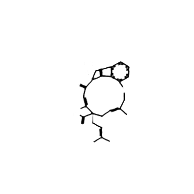 CCC(=O)[C@@]1(CC=C(C)C)C/C=C(\C)COc2cccc3c2C(=O)[C@@H](C(=O)/C=C\1C)[C@@H]3O